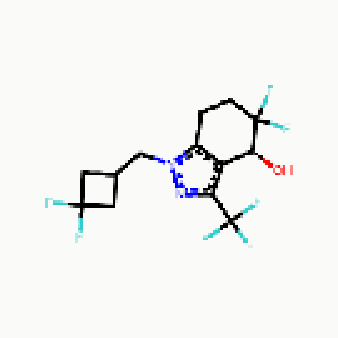 O[C@H]1c2c(C(F)(F)F)nn(CC3CC(F)(F)C3)c2CCC1(F)F